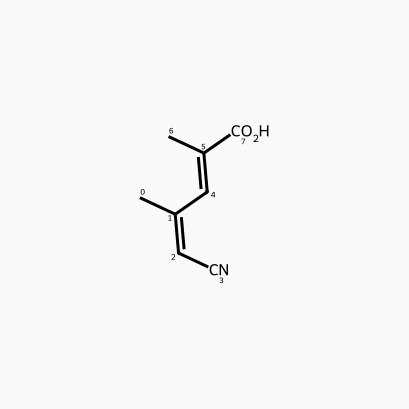 CC(=CC#N)C=C(C)C(=O)O